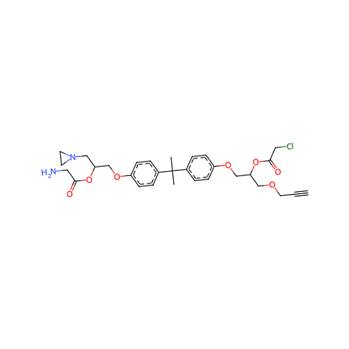 C#CCOCC(COc1ccc(C(C)(C)c2ccc(OCC(CN3CC3)OC(=O)CN)cc2)cc1)OC(=O)CCl